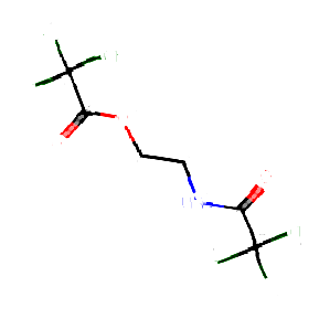 O=C(NCCOC(=O)C(Cl)(Cl)Cl)C(Cl)(Cl)Cl